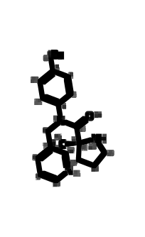 CC(C)(C)c1ccc(N(Cc2cccnc2)C(=O)[C@@]2(C)CCCN2)cc1